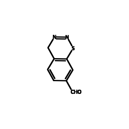 O=Cc1ccc2c(c1)SN=NC2